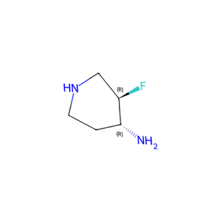 N[C@@H]1CCNC[C@H]1F